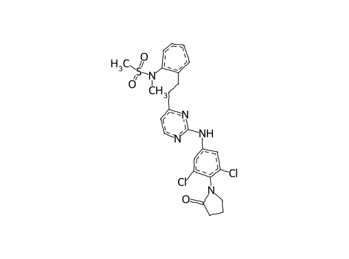 CN(c1ccccc1CCc1ccnc(Nc2cc(Cl)c(N3CCCC3=O)c(Cl)c2)n1)S(C)(=O)=O